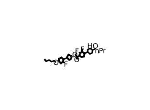 C=CCCCOc1ccc(-c2ccc(OC(=O)c3ccc(C4CCC(C(O)CCC)CC4)c(F)c3F)cc2)c(F)c1